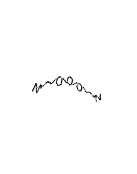 N#CCCCOCCOCCOCCCC#N